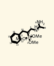 C[O][Ti]([O]C)([O]C)[CH](CNC(C)N)Cc1ccccc1